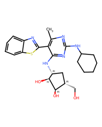 Cc1nc(NC2CCCCC2)nc(N[C@@H]2C[C@H](CO)[C@@H](O)[C@H]2O)c1-c1nc2ccccc2s1